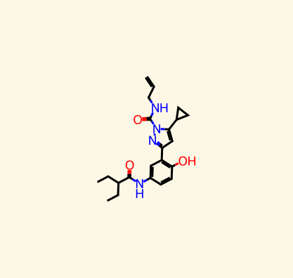 C=CCNC(=O)n1nc(-c2cc(NC(=O)C(CC)CC)ccc2O)cc1C1CC1